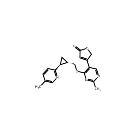 Cc1ccc([C@H]2C[C@@H]2COc2nc(C)ncc2C2=CC(=O)OC2)nc1